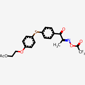 CC(=O)OCCOc1ccc(Sc2ccc(C(=O)/C(C)=N/OC(=O)C(F)(F)F)cc2)cc1